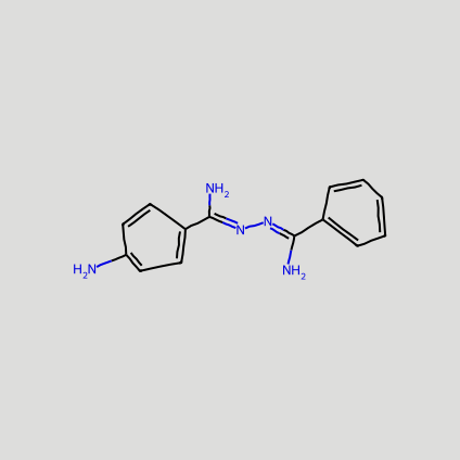 N/C(=N\N=C(/N)c1ccc(N)cc1)c1ccccc1